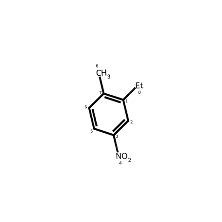 CCc1cc([N+](=O)[O-])ccc1C